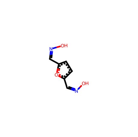 O/N=C\c1ccc(/C=N\O)o1